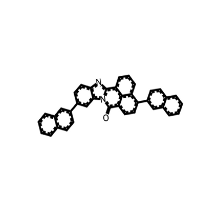 O=c1c2ccc(-c3ccc4ccccc4c3)c3cccc(c32)c2nc3ccc(-c4ccc5ccccc5c4)cc3n12